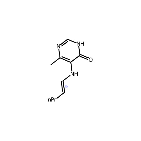 CCC/C=C/Nc1c(C)nc[nH]c1=O